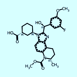 COC(=O)N1c2ccc3c(nc([C@@H](O)c4cc(F)cc(OC)c4)n3[C@@H]3CCC[C@@H](C(=O)O)C3)c2CC[C@@H]1C